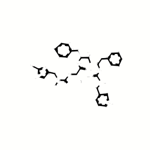 CC(C)[C@H](NC(=O)N(C)Cc1csc(N)n1)C(=O)N[C@@H](Cc1ccccc1)[C@@H](O)C[C@H](Cc1ccccc1)NC(=O)OCc1cccnc1